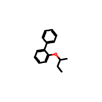 CCC(C)Oc1ccccc1-c1ccccc1